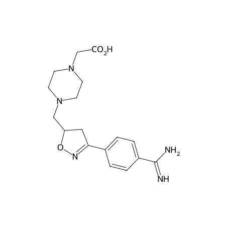 N=C(N)c1ccc(C2=NOC(CN3CCN(CC(=O)O)CC3)C2)cc1